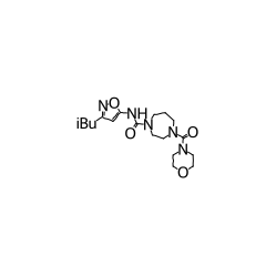 CCC(C)c1cc(NC(=O)N2CCCN(C(=O)N3CCOCC3)CC2)on1